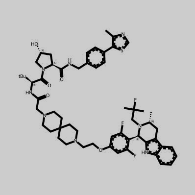 Cc1ncsc1-c1ccc(CNC(=O)[C@@H]2C[C@@H](O)CN2C(=O)[C@@H](NC(=O)CN2CCC3(CCN(CCOc4cc(F)c([C@@H]5c6[nH]c7ccccc7c6C[C@@H](C)N5CC(C)(C)F)c(F)c4)CC3)CC2)C(C)(C)C)cc1